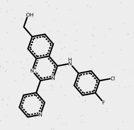 OCc1ccc2c(Nc3ccc(F)c(Cl)c3)nc(-c3cccnc3)nc2c1